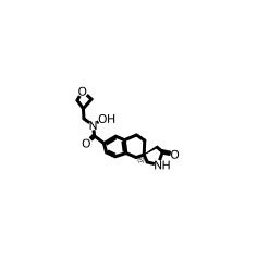 O=C1C[C@@]2(CCc3cc(C(=O)N(O)CC4COC4)ccc3C2)CN1